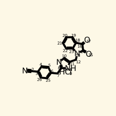 Cl.N#Cc1ccc(Cc2ncc(CN3C(=O)C(=O)c4ccccc43)[nH]2)cc1